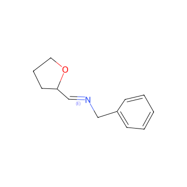 C(=N\Cc1ccccc1)/C1CCCO1